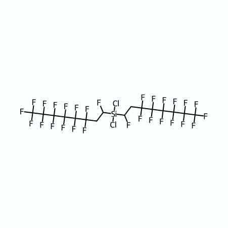 FC(CC(F)(F)C(F)(F)C(F)(F)C(F)(F)C(F)(F)C(F)(F)F)[Si](Cl)(Cl)C(F)CC(F)(F)C(F)(F)C(F)(F)C(F)(F)C(F)(F)C(F)(F)F